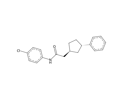 O=C(C[C@H]1CC[C@H](c2ccccc2)C1)Nc1ccc(Cl)cc1